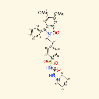 COc1cc2c(cc1OC)C(c1ccccc1)N(CCc1ccc(S(=O)(=O)NC(=O)NN3CCCCC3)cc1)C2=O